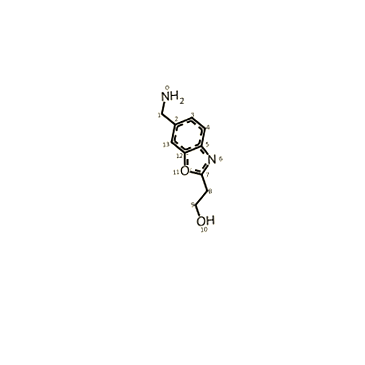 NCc1ccc2nc(CCO)oc2c1